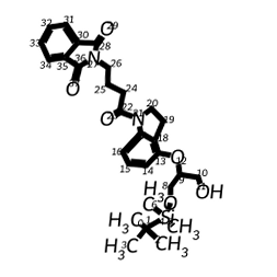 CC(C)(C)[Si](C)(C)OCC(CO)Oc1cccc2c1CCN2C(=O)CCCN1C(=O)c2ccccc2C1=O